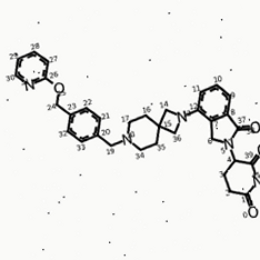 O=C1CCC(N2Cc3c(cccc3N3CC4(CCN(Cc5ccc(COc6ccccn6)cc5)CC4)C3)C2=O)C(=O)N1